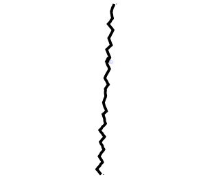 [CH2]CCCCCCC/C=C/CCCCCCCCCCCCCCCC[CH2]